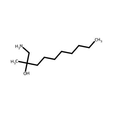 CCCCCCCCC(C)(O)CN